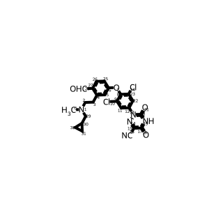 CN(CCc1cc(Oc2c(Cl)cc(-n3nc(C#N)c(=O)[nH]c3=O)cc2Cl)ccc1C=O)CC1CC1